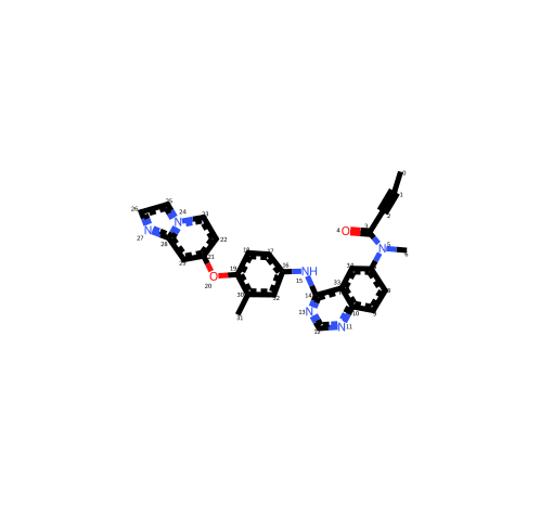 CC#CC(=O)N(C)c1ccc2ncnc(Nc3ccc(Oc4ccn5ccnc5c4)c(C)c3)c2c1